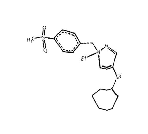 CC[N+]1(Cc2ccc(S(C)(=O)=O)cc2)C=C(NC2CCCCC2)C=N1